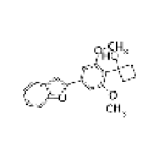 COc1cc(-c2cc3ccccc3o2)cc(OC)c1C1(O)CCC1